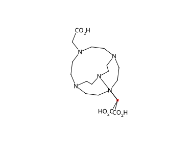 O=C(O)CN1CCN2CCN(CC(=O)O)CCN(CC1)CCN(CC(=O)O)CC2